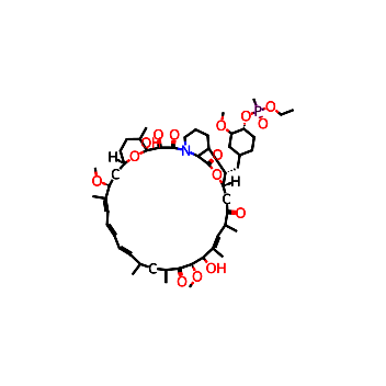 CCOP(C)(=O)O[C@@H]1CCC(C[C@H]2C3CCCN4C(=O)C(=O)C5(O)O[C@@H](CCC5C)C[C@H](OC)/C(C)=C/C=C/C=C/C(C)CC(C)C(=O)[C@H](OC)C(O)/C(C)=C/C(C)C(=O)C[C@@H]2OC(=O)C34)CC1OC